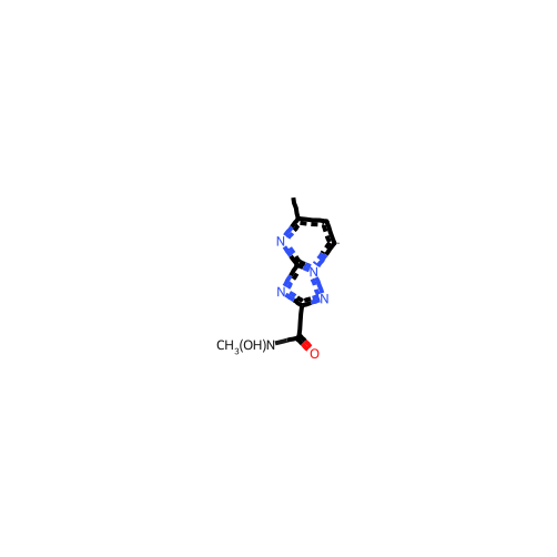 Cc1c[c]n2nc(C(=O)N(C)O)nc2n1